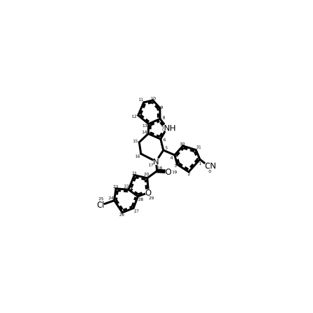 N#Cc1ccc(C2c3[nH]c4ccccc4c3CCN2C(=O)c2cc3cc(Cl)ccc3o2)cc1